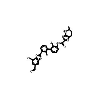 Cc1c(-c2nc3cc(C=O)cc(Cl)c3o2)cccc1-c1cccc(NC(=O)c2nc3c(s2)CCC(C)N3)c1Cl